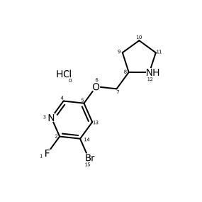 Cl.Fc1ncc(OCC2CCCN2)cc1Br